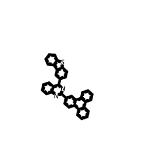 c1ccc2c(-c3ccc4sc5ccccc5c4c3)nc(-c3ccc4c5ccccc5c5ccccc5c4c3)nc2c1